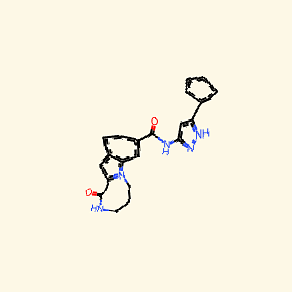 O=C(Nc1cc(-c2ccccc2)[nH]n1)c1ccc2cc3n(c2c1)CCCNC3=O